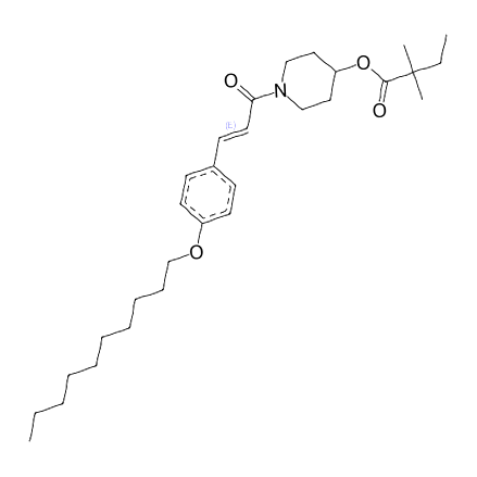 CCCCCCCCCCOc1ccc(/C=C/C(=O)N2CCC(OC(=O)C(C)(C)CC)CC2)cc1